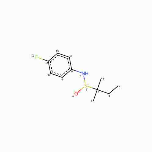 CCC(C)(C)[S+]([O-])Nc1ccc(F)cc1